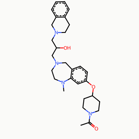 CC(=O)N1CCC(Oc2ccc3c(c2)N(C)CCN(CC(O)CN2CCc4ccccc4C2)C3)CC1